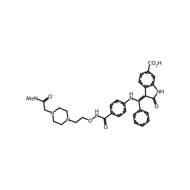 CNC(=O)CN1CCN(CCONC(=O)c2ccc(NC(=C3C(=O)Nc4cc(C(=O)O)ccc43)c3ccccc3)cc2)CC1